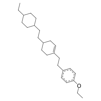 CCOc1ccc(CCC2=CCC(CCC3CCC(CC)CC3)CC2)cc1